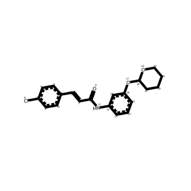 O=C(/C=C/c1ccc(Cl)cc1)Nc1cccc(OC2CCCCO2)c1